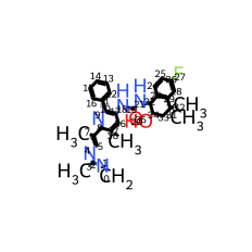 C=N/C(C)=N\C=C(/C)c1nc(-c2ccccc2)c(NC(=O)NC2c3ccc(F)cc3C(C)(C)C[C@H]2O)cc1C